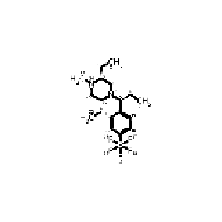 CC[C@H]1CN([C@@H](CC)c2ccc(S(F)(F)(F)(F)F)cc2)[C@H](CC)CN1C